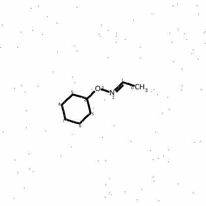 C/C=N/OC1CCCCC1